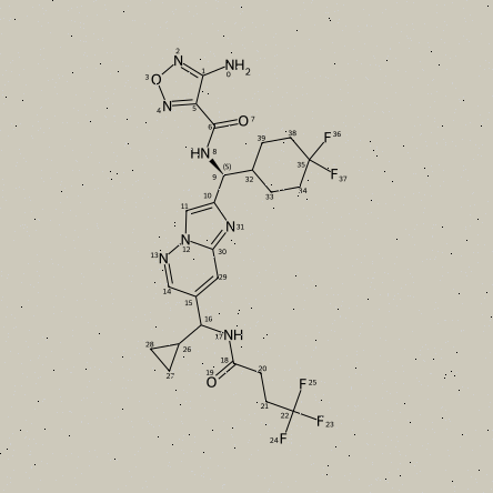 Nc1nonc1C(=O)N[C@H](c1cn2ncc(C(NC(=O)CCC(F)(F)F)C3CC3)cc2n1)C1CCC(F)(F)CC1